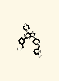 OCc1cccc(-c2nc(N3CCOCC3)c3ncn(C4CCN(Cc5cccc(Br)n5)CC4)c3n2)c1